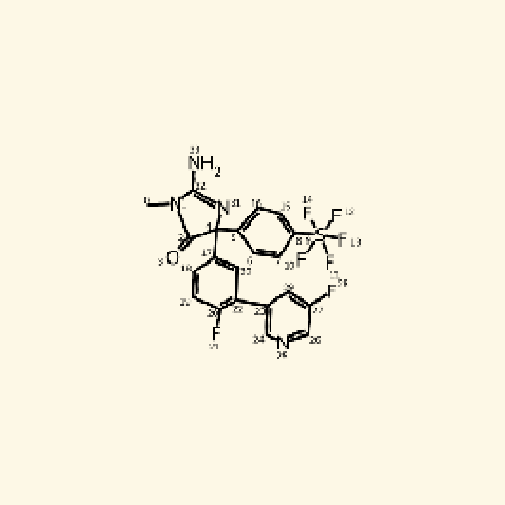 CN1C(=O)C(c2ccc(S(F)(F)(F)(F)F)cc2)(c2ccc(F)c(-c3cncc(F)c3)c2)N=C1N